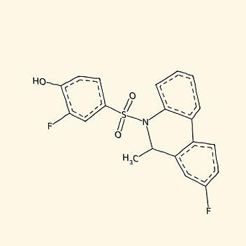 CC1c2cc(F)ccc2-c2ccccc2N1S(=O)(=O)c1ccc(O)c(F)c1